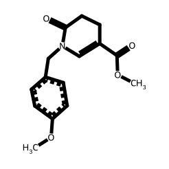 COC(=O)C1=CN(Cc2ccc(OC)cc2)C(=O)CC1